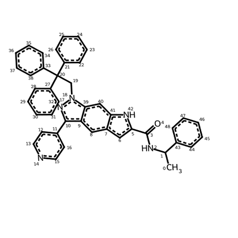 CC(NC(=O)c1cc2cc3c(-c4ccncc4)nn(CC(c4ccccc4)(c4ccccc4)c4ccccc4)c3cc2[nH]1)c1ccccc1